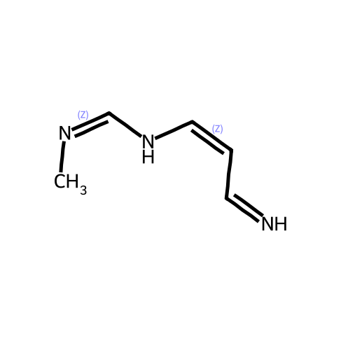 C/N=C\N/C=C\C=N